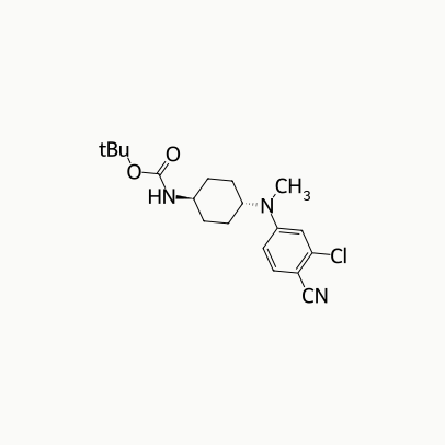 CN(c1ccc(C#N)c(Cl)c1)[C@H]1CC[C@H](NC(=O)OC(C)(C)C)CC1